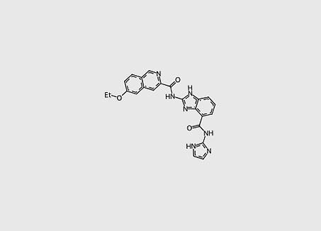 CCOc1ccc2cnc(C(=O)Nc3nc4c(C(=O)Nc5ncc[nH]5)cccc4[nH]3)cc2c1